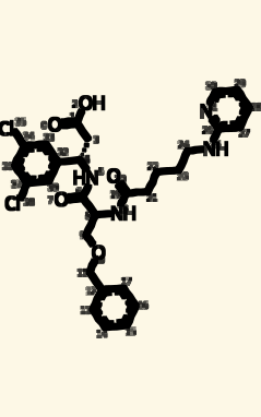 O=C(O)C[C@H](NC(=O)C(COCc1ccccc1)NC(=O)CCCCNc1ccccn1)c1cc(Cl)cc(Cl)c1